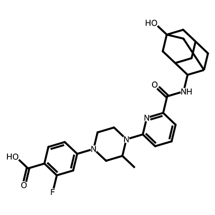 CC1CN(c2ccc(C(=O)O)c(F)c2)CCN1c1cccc(C(=O)NC2C3CC4CC2CC(O)(C4)C3)n1